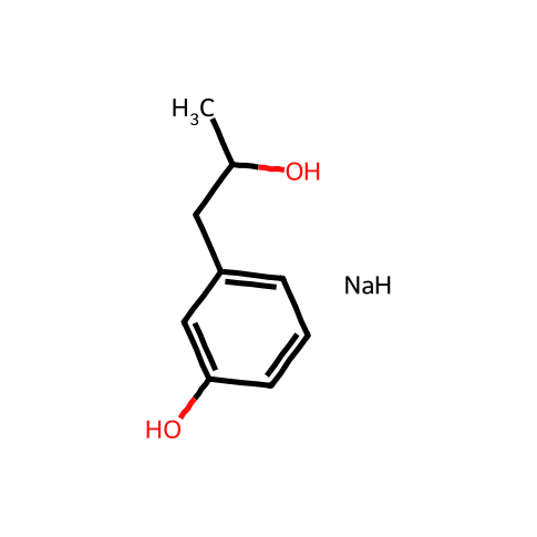 CC(O)Cc1cccc(O)c1.[NaH]